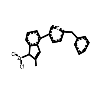 CC1=Cc2c(-c3ccc(Cc4ccccc4)cc3)cccc2[CH]1[Zr]([Cl])[Cl]